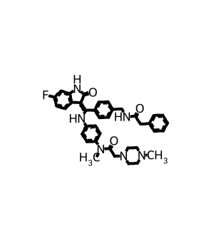 CN1CCN(CC(=O)N(C)c2ccc(NC(=C3C(=O)Nc4cc(F)ccc43)c3ccc(CNC(=O)Cc4ccccc4)cc3)cc2)CC1